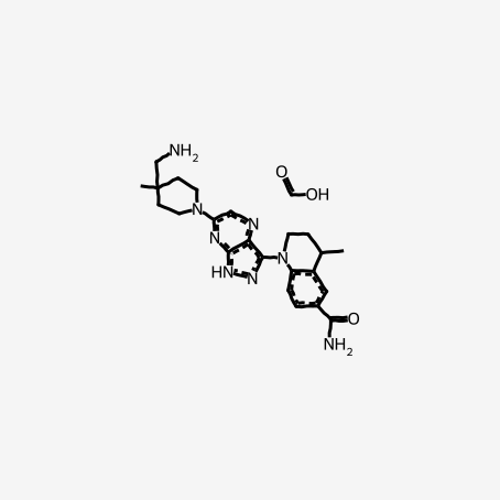 CC1CCN(c2n[nH]c3nc(N4CCC(C)(CN)CC4)cnc23)c2ccc(C(N)=O)cc21.O=CO